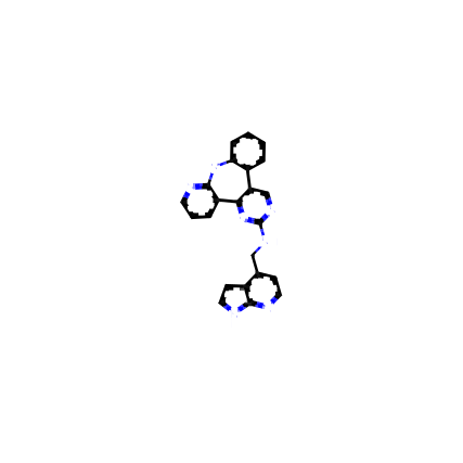 c1ccc2c(c1)Nc1ncccc1-c1nc(NCc3ccnc4[nH]ccc34)ncc1-2